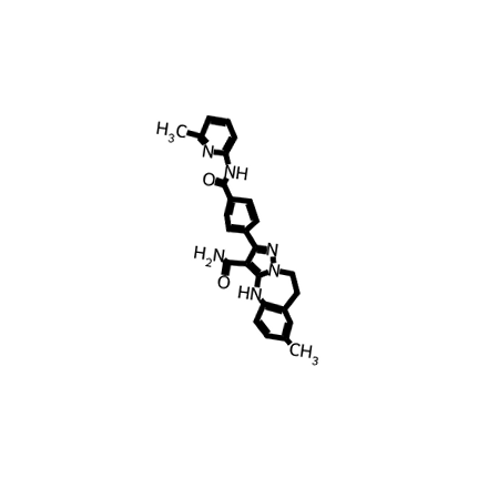 Cc1ccc2c(c1)CCn1nc(-c3ccc(C(=O)Nc4cccc(C)n4)cc3)c(C(N)=O)c1N2